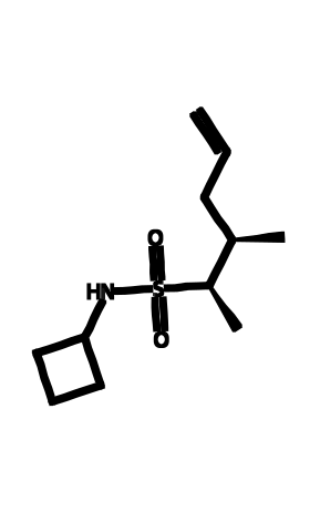 C=CC[C@@H](C)[C@@H](C)S(=O)(=O)NC1CCC1